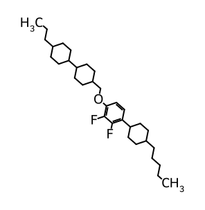 CCCCCC1CCC(c2ccc(OCC3CCC(C4CCC(CCC)CC4)CC3)c(F)c2F)CC1